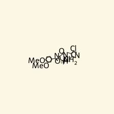 COc1ccc(-c2nc(C(=O)NCc3c(Cl)cncc3Cl)c([C@H](C)N)o2)cc1OC